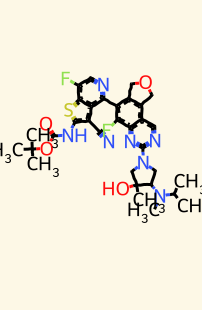 CC(C)N(C)C1CN(c2ncc3c4c(c(-c5ncc(F)c6sc(NC(=O)OC(C)(C)C)c(C#N)c56)c(F)c3n2)COC4)CC1(C)O